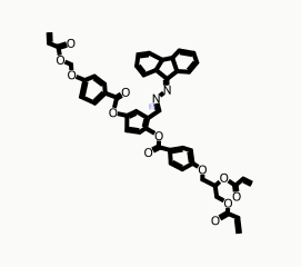 C=CC(=O)OCOc1ccc(C(=O)Oc2ccc(OC(=O)c3ccc(OCC(COC(=O)C=C)OC(=O)C=C)cc3)c(/C=N/N=C3C4C=CC=CC4C4C=CC=CC34)c2)cc1